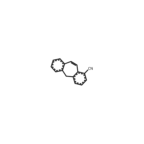 N#Cc1cccc2c1C=Cc1ccccc1C2